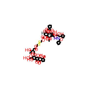 COc1cccc2c1C(=O)c1c(O)c3c(c(O)c1C2=O)CC(O)(C(=O)CO)C[C@@H]3OC1CC(CC(=O)OCCSSCCOC(=O)O[C@H]2C[C@H]3OCC3(OC(C)=O)[C@H]3[C@H](OC(=O)c4ccccc4)[C@]4(O)C[C@H](OC(=O)[C@H](O)[C@@H](NC(=O)c5ccccc5)c5ccccc5)C(C)=C([C@@H](OC(C)=O)C(=O)[C@]23C)C4(C)C)C(O)C(C)O1